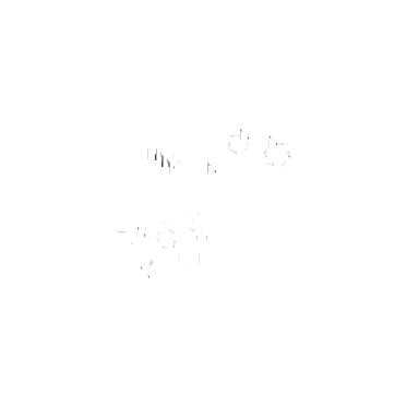 Cc1c(C(=O)OCC2CCN(Cc3cnc(-c4ccccn4)s3)CC2)sc(N)c1C#N.Cl.Cl.Cl